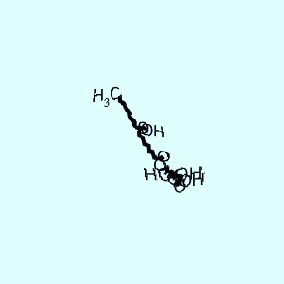 CCC=CCC=CC=CC(CCCCCCCC(=O)OC[C@H](O)COP(=O)(O)O)OO